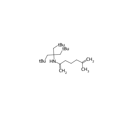 C=C(C)CCCC(=C)NC(CC(C)(C)C)(CC(C)(C)C)CC(C)(C)C